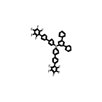 Fc1c(F)c(F)c(-c2ccc(-c3ccc(N(c4ccc(-c5ccc(-c6c(F)c(F)c(F)c(F)c6F)cc5)cc4)c4cc(-c5ccccc5)cc(-c5ccccc5)c4)cc3)cc2)c(F)c1F